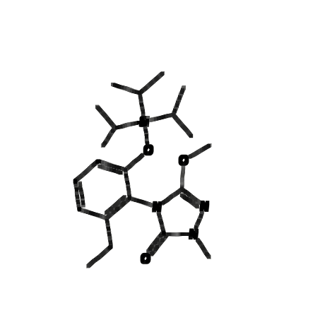 CCc1cccc(O[Si](C(C)C)(C(C)C)C(C)C)c1-n1c(OC)nn(C)c1=O